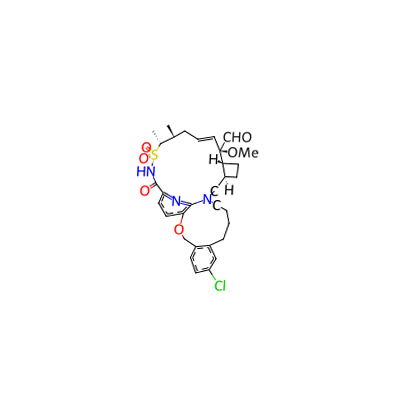 CO[C@]1(C=O)/C=C/C[C@H](C)[C@@H](C)S(=O)(=O)NC(=O)c2ccc3c(n2)N(CCCCc2cc(Cl)ccc2CO3)C[C@@H]2CC[C@H]21